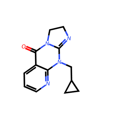 O=C1c2cccnc2N(CC2CC2)C2=NCCN12